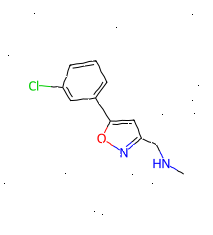 CNCc1cc(-c2cccc(Cl)c2)on1